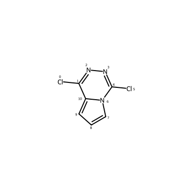 Clc1nnc(Cl)n2cccc12